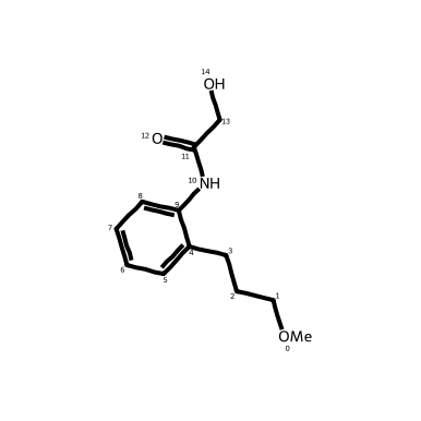 COCCCc1ccccc1NC(=O)CO